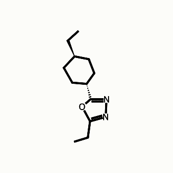 CCc1nnc([C@H]2CC[C@H](CC)CC2)o1